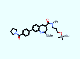 CCCN(CCCO[Si](C)(C)C(C)(C)C)C(=O)C1=Cc2ccc(-c3ccc(C(=O)N4CCCC4)cc3)cc2N=C(NC)C1